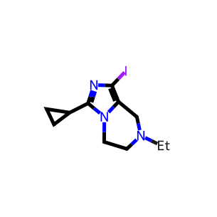 CCN1CCn2c(C3CC3)nc(I)c2C1